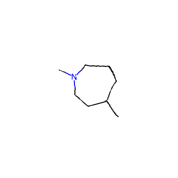 CC1CCCN(C)CC1